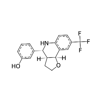 Oc1cccc([C@@H]2Nc3ccc(C(F)(F)F)cc3[C@H]3OCC[C@H]32)c1